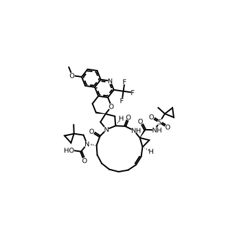 COc1ccc2nc(C(F)(F)F)c3c(c2c1)CC[C@]1(C[C@H]2C(=O)N[C@]4(C(=O)NS(=O)(=O)C5(C)CC5)C[C@H]4/C=C\CCCCC[C@H](N(CC4(C)CC4)C(=O)O)C(=O)N2C1)O3